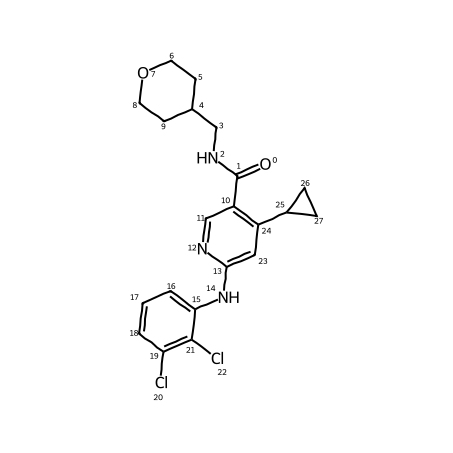 O=C(NCC1CCOCC1)c1cnc(Nc2cccc(Cl)c2Cl)cc1C1CC1